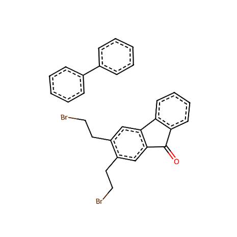 O=C1c2ccccc2-c2cc(CCBr)c(CCBr)cc21.c1ccc(-c2ccccc2)cc1